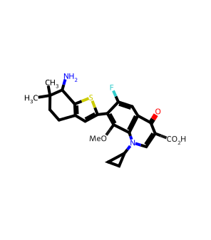 COc1c(-c2cc3c(s2)C(N)C(C)(C)CC3)c(F)cc2c(=O)c(C(=O)O)cn(C3CC3)c12